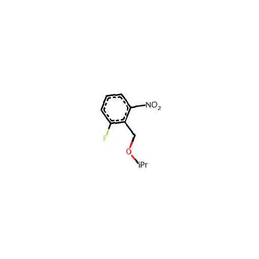 CC(C)OCc1c(F)cccc1[N+](=O)[O-]